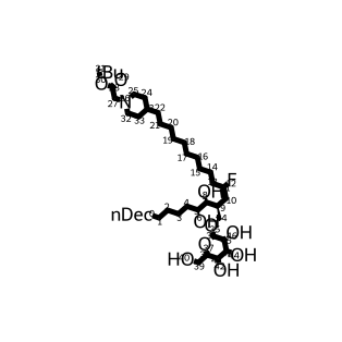 CCCCCCCCCCCCCC[C@@H](O)[C@@H](O)[C@@H](/C=C(/F)CCCCCCCCCCC1CCN(CC(=O)OC(C)(C)C)CC1)COC1OC(CO)C(O)C(O)C1O